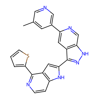 Cc1cncc(-c2cc3c(-c4cc5c(-c6cccs6)nccc5[nH]4)n[nH]c3cn2)c1